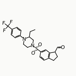 CCC1CN(S(=O)(=O)c2ccc3c(c2)C(C=O)CC3)CCN1c1ccc(C(F)(F)F)cc1